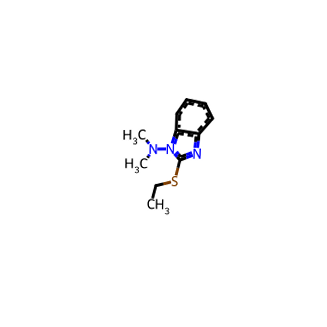 CCSc1nc2ccccc2n1N(C)C